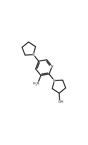 Nc1cc(N2CCCC2)cnc1N1CCC(O)C1